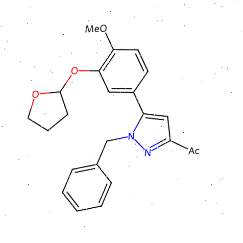 COc1ccc(-c2cc(C(C)=O)nn2Cc2ccccc2)cc1OC1CCCO1